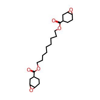 O=C(OCCCCCCCCCOC(=O)C1CCC2OC2C1)C1CCC2OC2C1